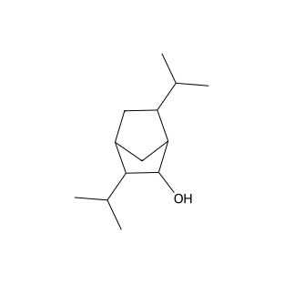 CC(C)C1CC2CC1C(O)C2C(C)C